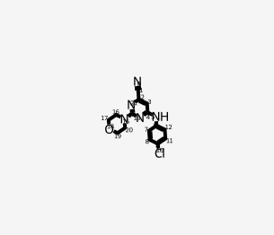 N#Cc1cc(Nc2ccc(Cl)cc2)nc(N2CCOCC2)n1